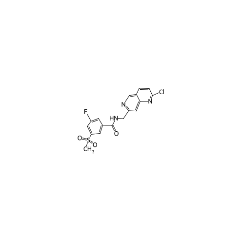 CS(=O)(=O)c1cc(F)cc(C(=O)NCc2cc3nc(Cl)ccc3cn2)c1